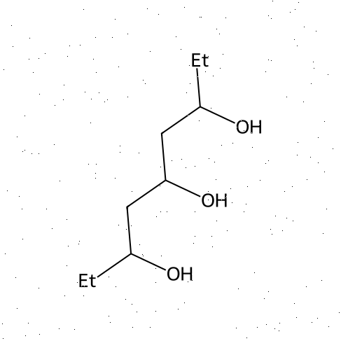 CCC(O)CC(O)CC(O)CC